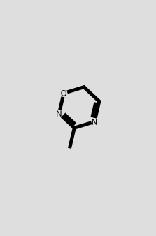 CC1=NOCC=N1